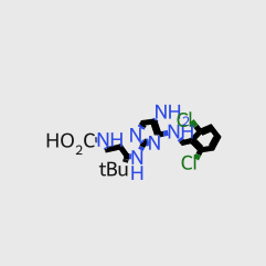 CC(C)(C)C(CCNC(=O)O)Nc1ncc(N)c(NCc2c(Cl)cccc2Cl)n1